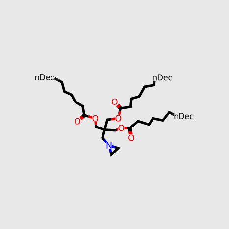 CCCCCCCCCCCCCCCC(=O)OCC(COC(=O)CCCCCCCCCCCCCCC)(COC(=O)CCCCCCCCCCCCCCC)CN1CC1